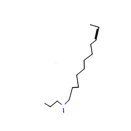 CCCCCCCC/C=C\CCCCCCCCN(C)CCS(=O)(=O)O.[Na]